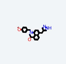 COc1ccc(CN2CC(=O)c3cccc4c(Cc5cn[nH]c5)ccc2c34)cc1